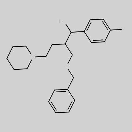 CC(c1ccc(F)cc1)C(CCN1CCCCC1)COCc1ccccc1